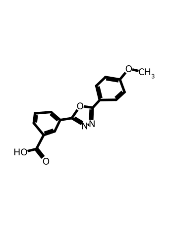 COc1ccc(-c2nnc(-c3cccc(C(=O)O)c3)o2)cc1